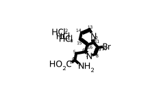 Cl.Cl.Cl.NC(Cc1ncc(Br)c2ncccc12)C(=O)O